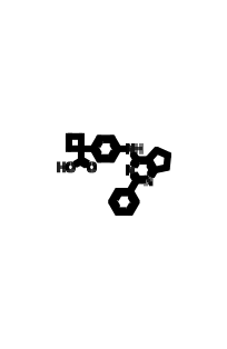 O=C(O)C1(c2ccc(Nc3nc(-c4ccccc4)nc4c3CCC4)cc2)CCC1